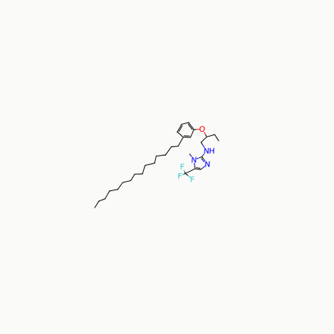 CCCCCCCCCCCCCCCc1cccc(OC(CC)CNc2ncc(C(F)(F)F)n2C)c1